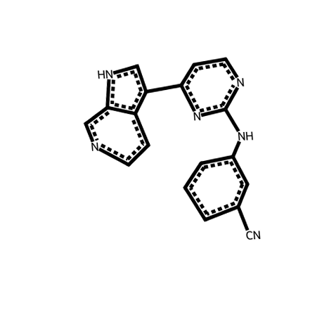 N#Cc1cccc(Nc2nccc(-c3c[nH]c4cnccc34)n2)c1